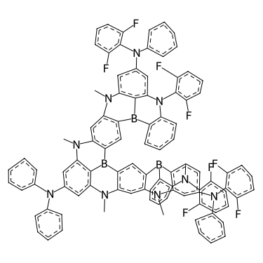 CN1c2cc3c(cc2B2c4cc5c(cc4N(C)c4cc(N(c6ccccc6)c6ccccc6)cc1c42)N(C)c1cc(N(c2ccccc2)c2c(F)cccc2F)cc2c1B5c1ccccc1N2c1c(F)cccc1F)B1c2ccccc2N(c2c(F)cccc2F)c2cc(N(c4ccccc4)c4c(F)cccc4F)cc(c21)N3C